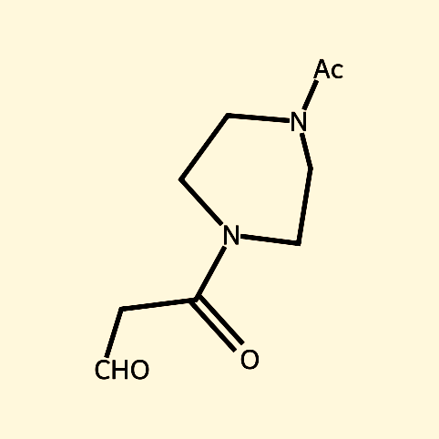 CC(=O)N1CCN(C(=O)CC=O)CC1